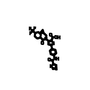 O=C(Nc1ccc(-c2cc(N(CC3CC3)C(=O)C3CCC(C(F)(F)F)CC3)c(C(=O)O)s2)cc1)c1cscn1